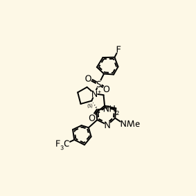 CNc1cc(C[N+]2(S(=O)(=O)c3ccc(F)cc3)CCC[C@H]2C(N)=O)cc(-c2ccc(C(F)(F)F)cc2)n1